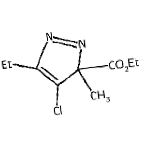 CCOC(=O)C1(C)N=NC(CC)=C1Cl